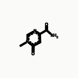 Cn1cnc(C(N)=O)cc1=O